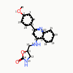 COc1ccc(-c2cc(NCC3CNC(=O)O3)c3ccccc3n2)cc1